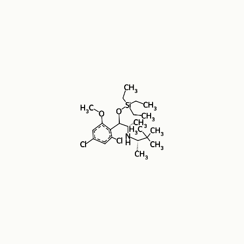 CC[Si](CC)(CC)OC(c1c(Cl)cc(Cl)cc1OC)[C@H](C)N[C@@H](C)C(C)(C)C